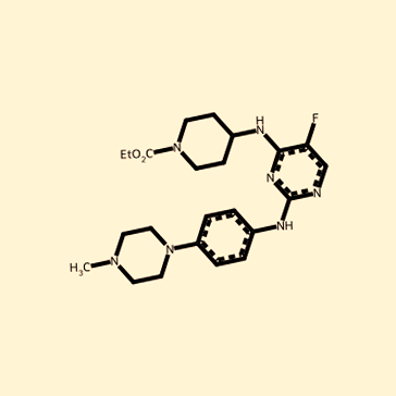 CCOC(=O)N1CCC(Nc2nc(Nc3ccc(N4CCN(C)CC4)cc3)ncc2F)CC1